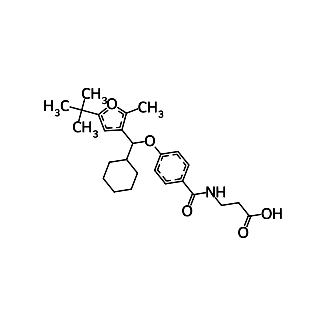 Cc1oc(C(C)(C)C)cc1C(Oc1ccc(C(=O)NCCC(=O)O)cc1)C1CCCCC1